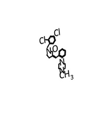 CN1CCN(c2ccccc2C=C2CCN(Cc3ccc(Cl)cc3Cl)C2=O)CC1